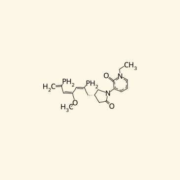 C=C(P)/C=C(\C=C(\P)C[C@H]1CC(=O)N(c2cccn(CC)c2=O)C1)OC